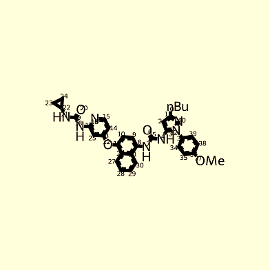 CCCCc1cc(NC(=O)Nc2ccc(Oc3ccnc(NC(=O)NC4CC4)c3)c3ccccc23)n(-c2ccc(OC)cc2)n1